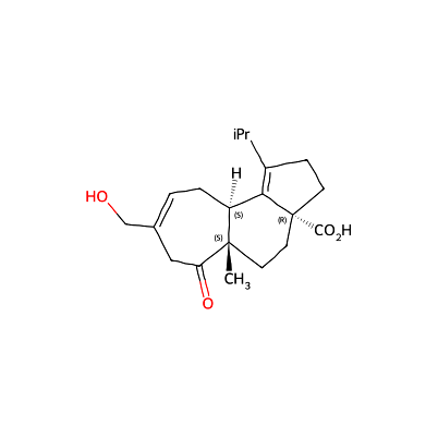 CC(C)C1=C2[C@@H]3CC=C(CO)CC(=O)[C@@]3(C)CC[C@]2(C(=O)O)CC1